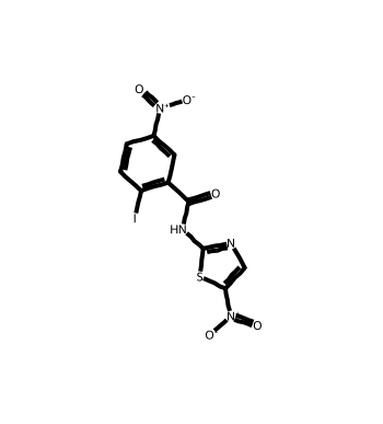 O=C(Nc1ncc([N+](=O)[O-])s1)c1cc([N+](=O)[O-])ccc1I